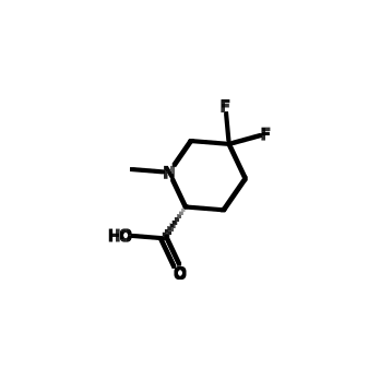 CN1CC(F)(F)CC[C@@H]1C(=O)O